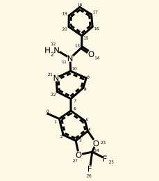 Cc1cc2c(cc1-c1ccc(N(N)C(=O)c3ccccc3)nc1)OC(F)(F)O2